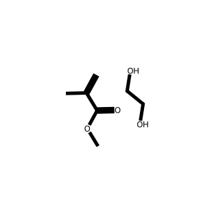 C=C(C)C(=O)OC.OCCO